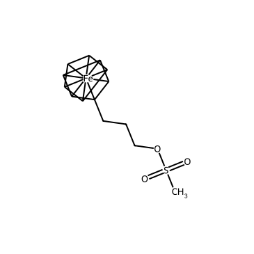 CS(=O)(=O)OCCC[C]12[CH]3[CH]4[CH]5[CH]1[Fe]45321678[CH]2[CH]1[CH]6[CH]7[CH]28